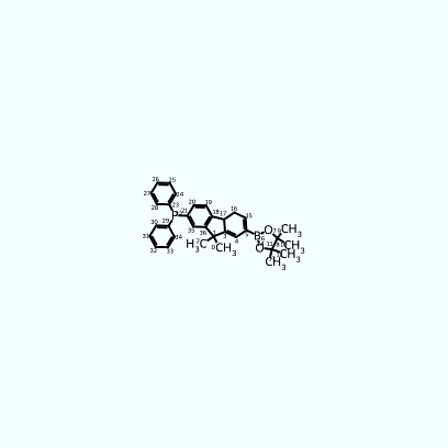 CC1(C)C2=CC(B3OC(C)(C)C(C)(C)O3)=CCC2c2ccc(P(c3ccccc3)c3ccccc3)cc21